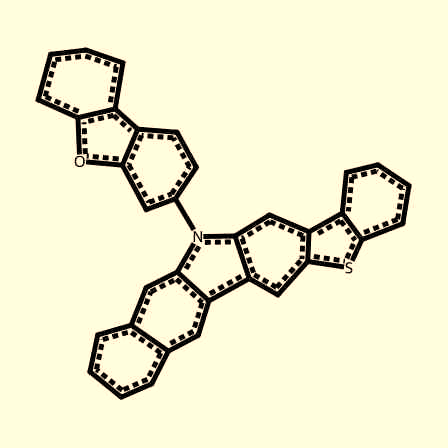 c1ccc2cc3c(cc2c1)c1cc2sc4ccccc4c2cc1n3-c1ccc2c(c1)oc1ccccc12